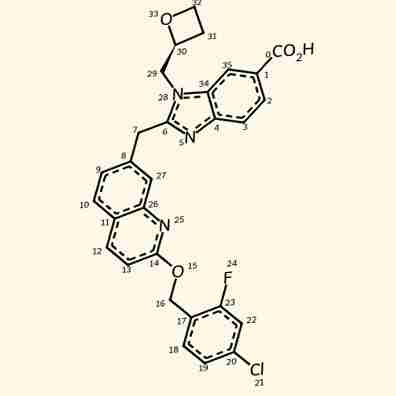 O=C(O)c1ccc2nc(Cc3ccc4ccc(OCc5ccc(Cl)cc5F)nc4c3)n(C[C@@H]3CCO3)c2c1